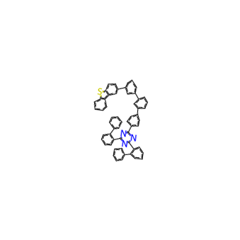 c1ccc(-c2ccccc2-c2nc(-c3ccc(-c4cccc(-c5cccc(-c6ccc7sc8ccccc8c7c6)c5)c4)cc3)nc(-c3ccccc3-c3ccccc3)n2)cc1